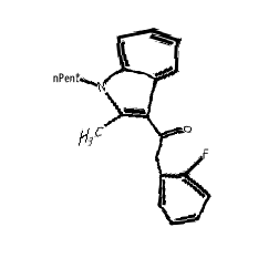 CCCCCn1c(C)c(C(=O)Cc2ccccc2F)c2ccccc21